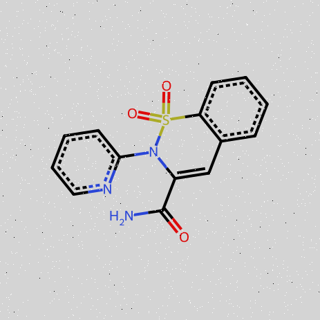 NC(=O)C1=Cc2ccccc2S(=O)(=O)N1c1ccccn1